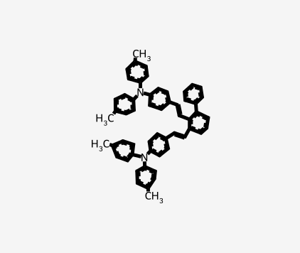 Cc1ccc(N(c2ccc(C)cc2)c2ccc(C=Cc3cccc(-c4ccccc4)c3C=Cc3ccc(N(c4ccc(C)cc4)c4ccc(C)cc4)cc3)cc2)cc1